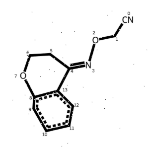 N#CCON=C1C[CH]Oc2ccccc21